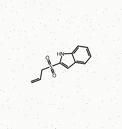 C=CCS(=O)(=O)c1cc2ccccc2[nH]1